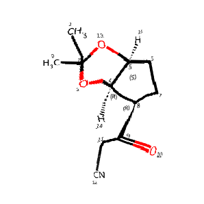 CC1(C)O[C@H]2[C@H](CC[C@H]2C(=O)CC#N)O1